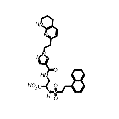 O=C(NCC(NS(=O)(=O)CCc1cccc2ccccc12)C(=O)O)c1cnn(CCc2ccc3c(n2)NCCC3)c1